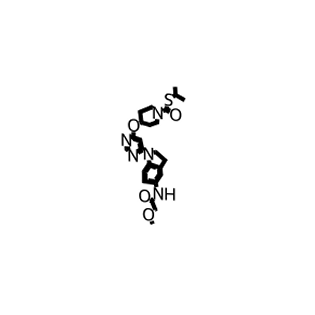 COCC(=O)Nc1ccc2c(c1)CCN2c1cc(OC2CCN(C(=O)SC(C)C)CC2)ncn1